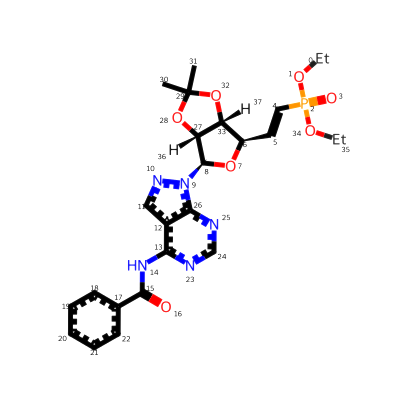 CCOP(=O)(/C=C/[C@H]1O[C@@H](n2ncc3c(NC(=O)c4ccccc4)ncnc32)[C@@H]2OC(C)(C)O[C@@H]21)OCC